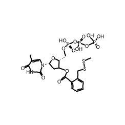 CSSCc1ccccc1C(=O)OC1C[C@H](n2cc(C)c(=O)[nH]c2=O)O[C@@H]1COP(=O)(O)OP(=O)(O)OP(=O)(O)O